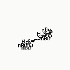 CCCCOC(OCCCC)[SiH2]CCCSCCC[SiH2]C(OCCCC)OCCCC